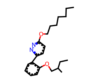 CCCCCCCOc1ccc(-c2ccccc2OCC(C)CC)nn1